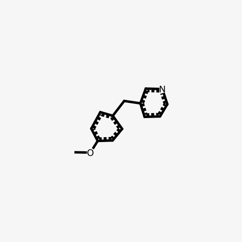 COc1ccc(Cc2cccnc2)cc1